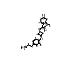 BCCc1ccc(OC2CN(CC3NN(C)C4CNCCN34)C2)c(C)c1